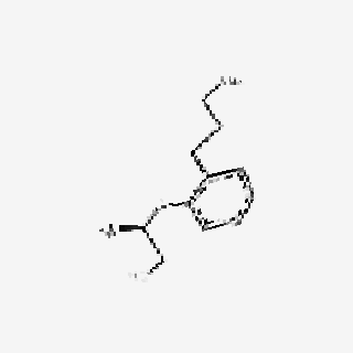 CNCCCc1ccccc1O[C@H](C)CO